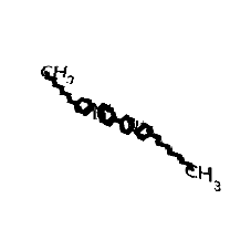 CCCCCCCCc1ccc(-[n+]2ccc(-c3cc[n+](-c4ccc(CCCCCCCC)cc4)cc3)cc2)cc1